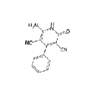 N#Cc1c(N)[nH]c(=O)c(C#N)c1-c1ccccc1